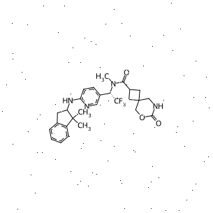 CN(C(=O)C1CC2(CNC(=O)OC2)C1)[C@@H](c1ccc(NC2Cc3ccccc3C2(C)C)nc1)C(F)(F)F